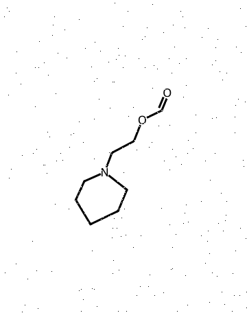 O=COCCN1CCCCC1